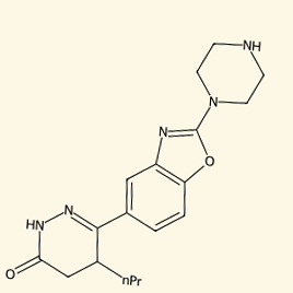 CCCC1CC(=O)NN=C1c1ccc2oc(N3CCNCC3)nc2c1